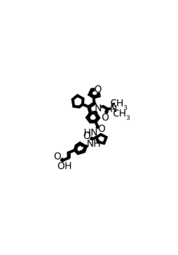 CN(C)C(=O)Cn1c(-c2ccoc2)c(C2CCCCC2)c2ccc(C(=O)NC3(C(=O)Nc4ccc(C=CC(=O)O)cc4)CCCC3)cc21